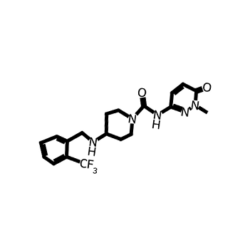 Cn1nc(NC(=O)N2CCC(NCc3ccccc3C(F)(F)F)CC2)ccc1=O